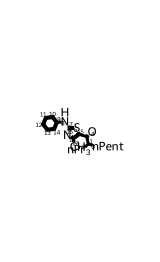 CCCCCC(CCC)C(=O)c1sc(Nc2ccccc2)nc1C